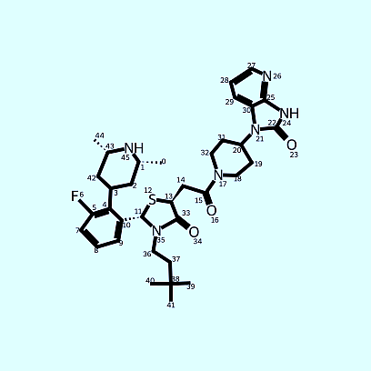 C[C@@H]1CC(c2c(F)cccc2[C@@H]2S[C@@H](CC(=O)N3CCC(n4c(=O)[nH]c5ncccc54)CC3)C(=O)N2CCC(C)(C)C)C[C@H](C)N1